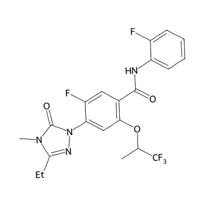 CCc1nn(-c2cc(OC(C)C(F)(F)F)c(C(=O)Nc3ccccc3F)cc2F)c(=O)n1C